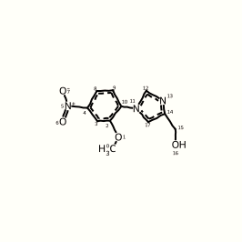 COc1cc([N+](=O)[O-])ccc1-n1cnc(CO)c1